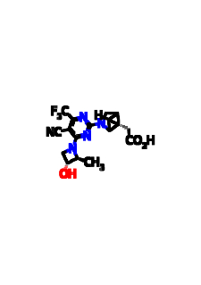 C[C@H]1[C@H](O)CN1c1nc(N2CC3[C@H]4C2[C@]34CC(=O)O)nc(C(F)(F)F)c1C#N